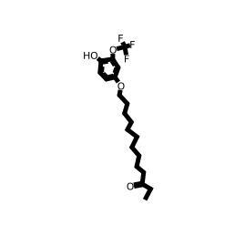 CCC(=O)CCCCCCCCCCOc1ccc(O)c(OC(F)(F)F)c1